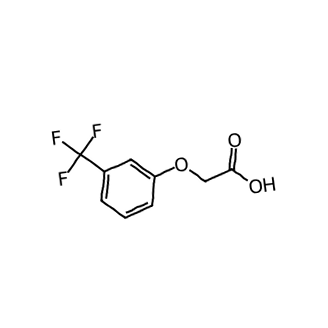 O=C(O)COc1cccc(C(F)(F)F)c1